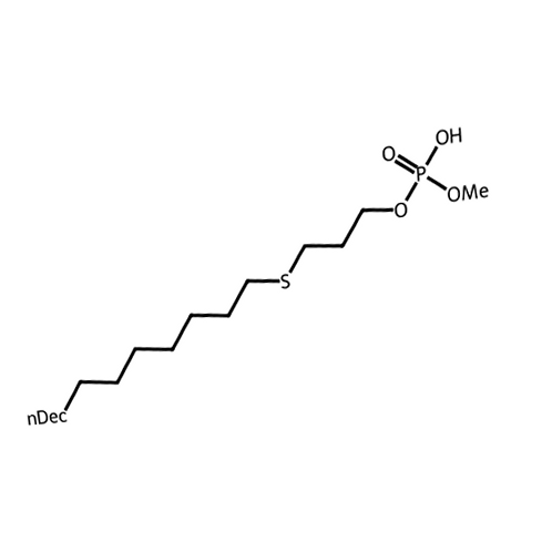 CCCCCCCCCCCCCCCCCSCCCOP(=O)(O)OC